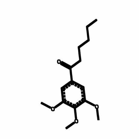 CCCCCC(=O)c1cc(OC)c(OC)c(OC)c1